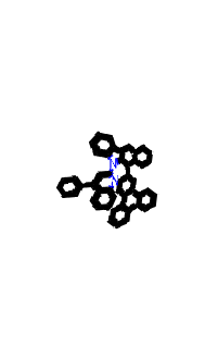 c1ccc(-c2cc(-n3c4ccccc4c4cc5ccccc5c(-c5ccc6c7ccccc7c7ccccc7c6c5)c43)nc3ccccc23)cc1